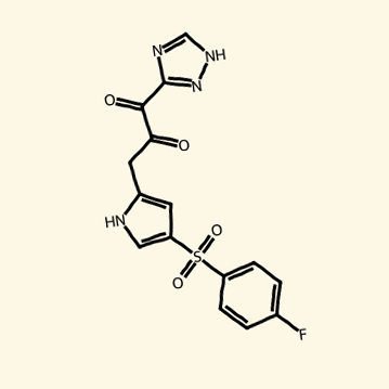 O=C(Cc1cc(S(=O)(=O)c2ccc(F)cc2)c[nH]1)C(=O)c1nc[nH]n1